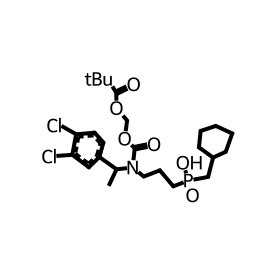 CC(c1ccc(Cl)c(Cl)c1)N(CCCP(=O)(O)CC1CCCCC1)C(=O)OCOC(=O)C(C)(C)C